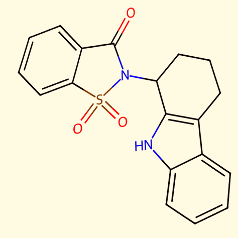 O=C1c2ccccc2S(=O)(=O)N1C1CCCc2c1[nH]c1ccccc21